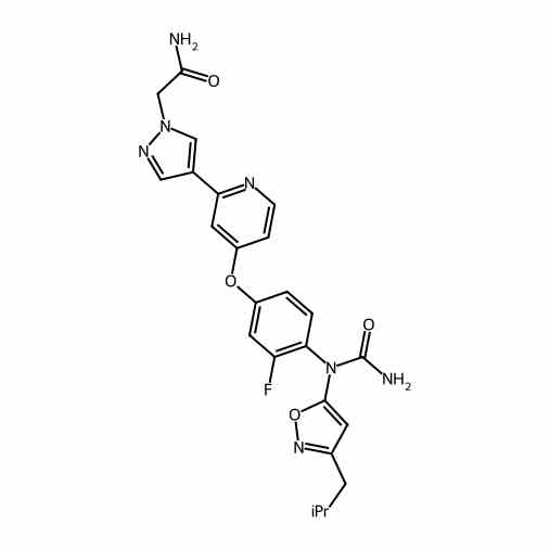 CC(C)Cc1cc(N(C(N)=O)c2ccc(Oc3ccnc(-c4cnn(CC(N)=O)c4)c3)cc2F)on1